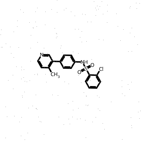 Cc1ccncc1-c1ccc(NS(=O)(=O)c2ccccc2Cl)cc1